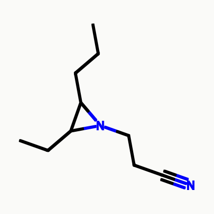 CCCC1C(CC)N1CCC#N